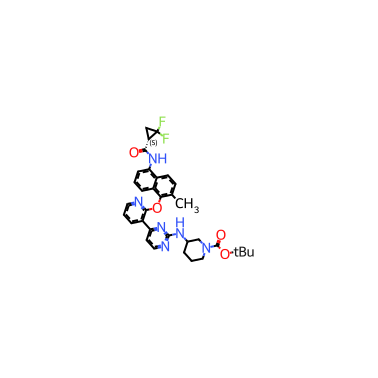 Cc1ccc2c(NC(=O)[C@@H]3CC3(F)F)cccc2c1Oc1ncccc1-c1ccnc(NC2CCCN(C(=O)OC(C)(C)C)C2)n1